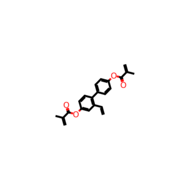 C=Cc1cc(OC(=O)C(=C)C)ccc1-c1ccc(OC(=O)C(=C)C)cc1